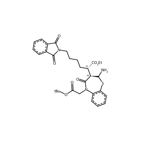 CCOC(=O)[C@@H](CCCCN1C(=O)c2ccccc2C1=O)[C@@H]1C(=O)N(CC(=O)OC(C)(C)C)c2ccccc2SC1N